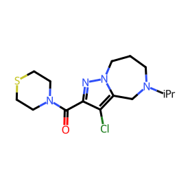 CC(C)N1CCCn2nc(C(=O)N3CCSCC3)c(Cl)c2C1